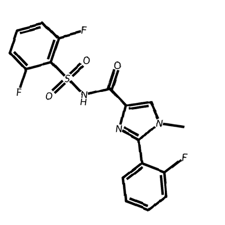 Cn1cc(C(=O)NS(=O)(=O)c2c(F)cccc2F)nc1-c1ccccc1F